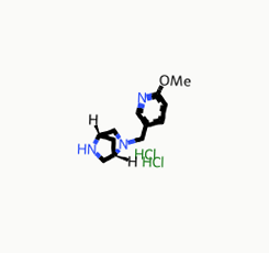 COc1ccc(CN2C[C@@H]3C[C@H]2CN3)cn1.Cl.Cl